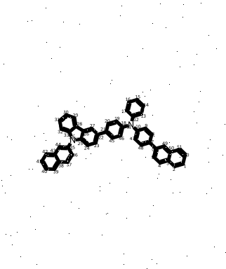 c1ccc2ccc(-c3ccc(N(c4ccccc4)c4ccc(-c5ccc6c(c5)c5ccccc5n6-c5ccc6ccccc6c5)cc4)cc3)cc2c#1